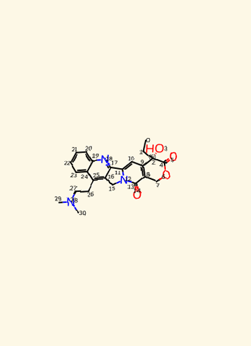 CC[C@@]1(O)C(=O)OCc2c1cc1n(c2=O)Cc2c-1nc1ccccc1c2CCN(C)C